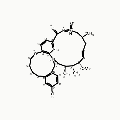 CO[C@H]1/C=C/C[C@H](C)C/[SH](=O)=N\C(=O)c2ccc3c(n2)N(Cc2ccc(Cl)cc2CCCCO3)C[C@H](C)[C@H]1C